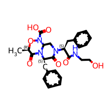 C[C@H]1ON(C(=O)O)C2CN([C@@H](Cc3ccccc3)C(=O)NCCO)C(=O)[C@H](Cc3ccccc3)N2C1=O